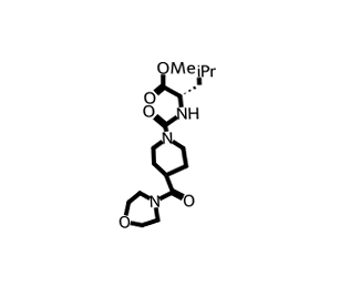 COC(=O)[C@H](CC(C)C)NC(=O)N1CCC(C(=O)N2CCOCC2)CC1